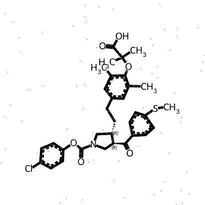 CSc1ccc(C(=O)[C@H]2CN(C(=O)Oc3ccc(Cl)cc3)C[C@@H]2CCc2cc(C)c(OC(C)(C)C(=O)O)c(C)c2)cc1